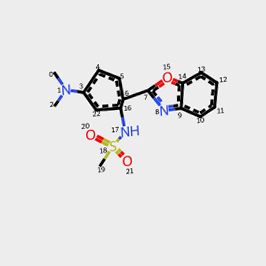 CN(C)c1ccc(-c2nc3ccccc3o2)c(NS(C)(=O)=O)c1